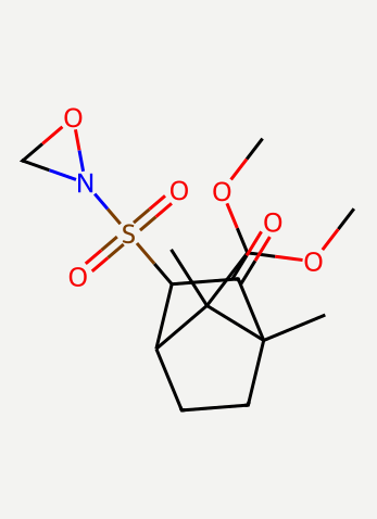 COC(OC)C1(C)C2CCC1(C)C(=O)C2S(=O)(=O)N1CO1